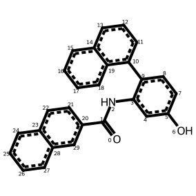 O=C(Nc1cc(O)ccc1-c1cccc2ccccc12)c1ccc2ccccc2c1